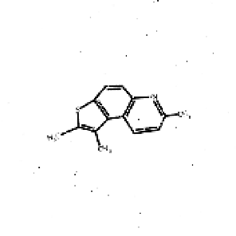 Cc1ccc2c(ccc3sc(C)c(C)c32)n1